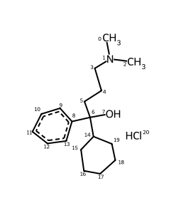 CN(C)CCCC(O)(c1ccccc1)C1CCCCC1.Cl